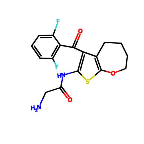 NCC(=O)Nc1sc2c(c1C(=O)c1c(F)cccc1F)CCCCO2